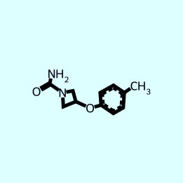 Cc1ccc(OC2CN(C(N)=O)C2)cc1